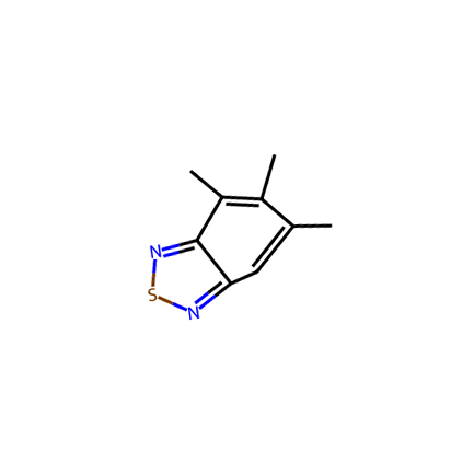 Cc1cc2nsnc2c(C)c1C